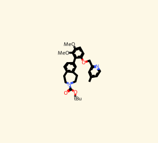 COc1ccc(OCc2cc(C)ccn2)c(-c2ccc3c(c2)CCN(C(=O)OC(C)(C)C)CC3)c1OC